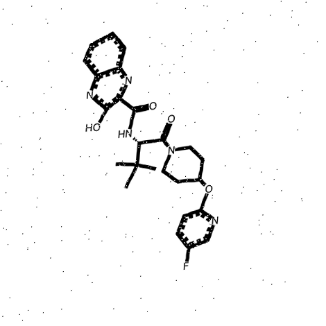 CC(C)(C)[C@H](NC(=O)c1nc2ccccc2nc1O)C(=O)N1CCC(Oc2ccc(F)cn2)CC1